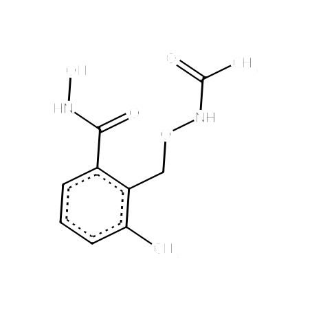 CC(=O)NOCc1c(C)cccc1C(=O)NO